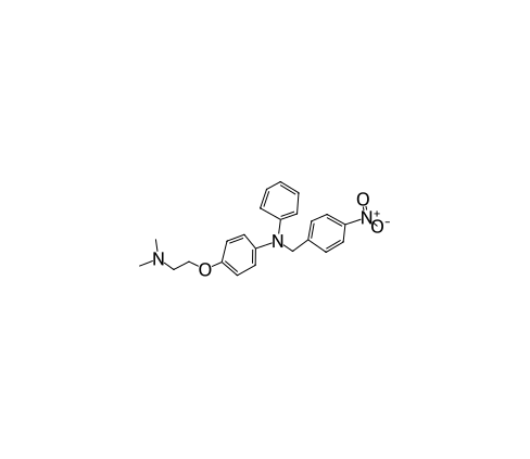 CN(C)CCOc1ccc(N(Cc2ccc([N+](=O)[O-])cc2)c2ccccc2)cc1